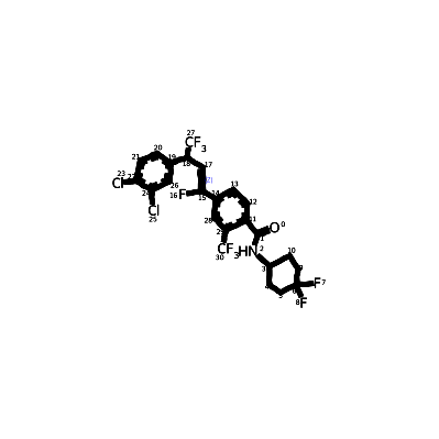 O=C(NC1CCC(F)(F)CC1)c1ccc(/C(F)=C/C(c2ccc(Cl)c(Cl)c2)C(F)(F)F)cc1C(F)(F)F